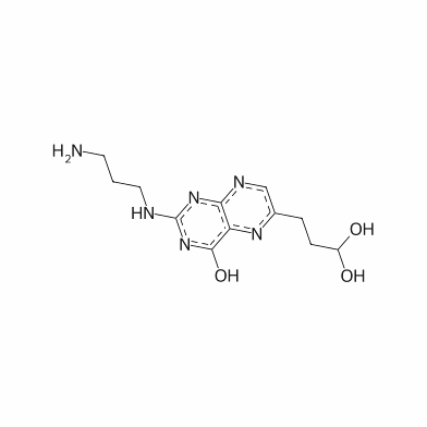 NCCCNc1nc(O)c2nc(CCC(O)O)cnc2n1